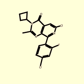 Cc1nc2c(-c3ccc(Cl)cc3F)nc(Cl)cc2c(=O)n1C1CCC1